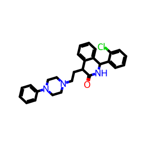 O=C1NC(c2ccccc2Cl)c2ccccc2C1CCN1CCN(c2ccccc2)CC1